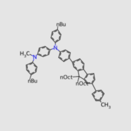 CCCCCCCCC1(CCCCCCCC)c2cc(-c3ccc(C)cc3)ccc2-c2ccc(-c3ccc(N(c4ccc(CCCC)cc4)c4ccc(N(C)c5ccc(CCCC)cc5)cc4)cc3)cc21